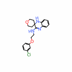 Clc1cccc(OCCNC2=Nc3ccccc3NC23CCOCC3)c1